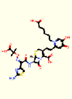 CC(C)(O/N=C(\C(=O)N[C@@H]1C(=O)N2C(C(=O)O)=C(C=Cc3cc(=O)c(O)cn3CCCCCC(=O)O)CS[C@H]12)c1csc(N)n1)C(=O)O